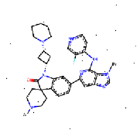 CC(=O)N1CCC2(CC1)C(=O)N([C@H]1C[C@@H](N3CCCCC3)C1)c1cc(-c3cc4ncn(C(C)C)c4c(Nc4ccncc4F)n3)ccc12